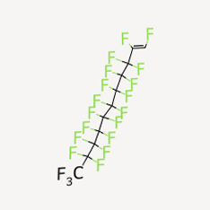 FC=C(F)C(F)(F)C(F)(F)C(F)(F)C(F)(F)C(F)(F)C(F)(F)C(F)(F)C(F)(F)C(F)(F)F